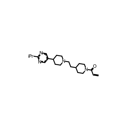 C=CC(=O)N1CCC(CCN2CCC(c3cnc(C(C)C)nc3)CC2)CC1